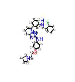 Fc1ccccc1CNc1cccc(C2=CCCc3nc(Nc4ccc(OCCN5CCCC5)cc4)nn32)c1